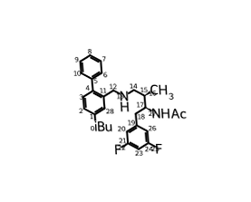 CCC(C)c1ccc(-c2ccccc2)c(CNC[C@@H](C)[C@H](Cc2cc(F)cc(F)c2)NC(C)=O)c1